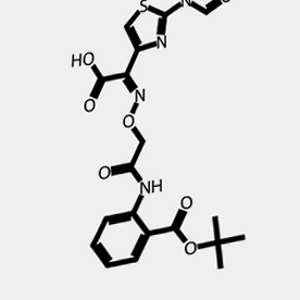 CC(C)(C)OC(=O)c1ccccc1NC(=O)CON=C(C(=O)O)c1csc(NC=O)n1